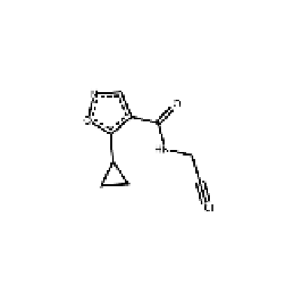 C#CCNC(=O)c1cnoc1C1CC1